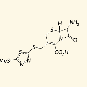 CSc1nnc(SCC2=C(C(=O)O)N3C(=O)C(N)[C@H]3SC2)s1